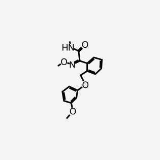 CNC(=O)/C(=N\OC)c1ccccc1COc1cccc(OC)c1